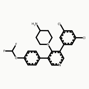 NC1CCN(c2c(-c3ccc(OC(F)F)cc3)cncc2-c2cc(Cl)cc(Cl)c2)CC1